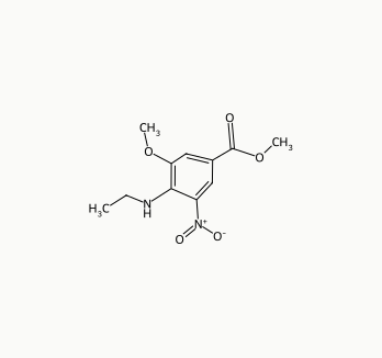 CCNc1c(OC)cc(C(=O)OC)cc1[N+](=O)[O-]